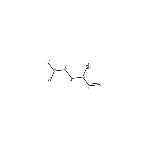 C=CC(S)CCC(C)C